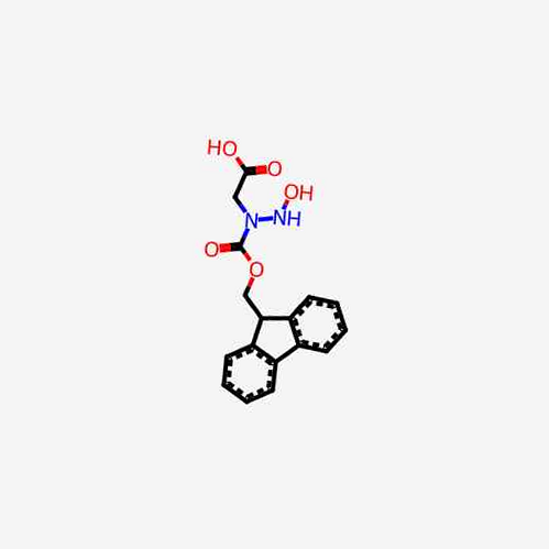 O=C(O)CN(NO)C(=O)OCC1c2ccccc2-c2ccccc21